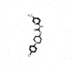 Cc1ccc(NC(=O)OC2CCN(c3ccc(Cl)cc3)CC2)nc1